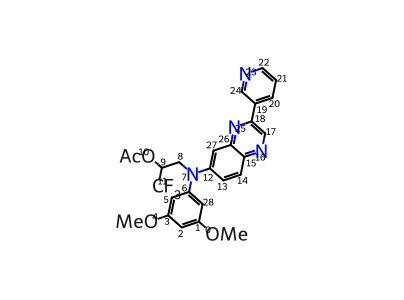 COc1cc(OC)cc(N(CC(OC(C)=O)C(F)(F)F)c2ccc3ncc(-c4cccnc4)nc3c2)c1